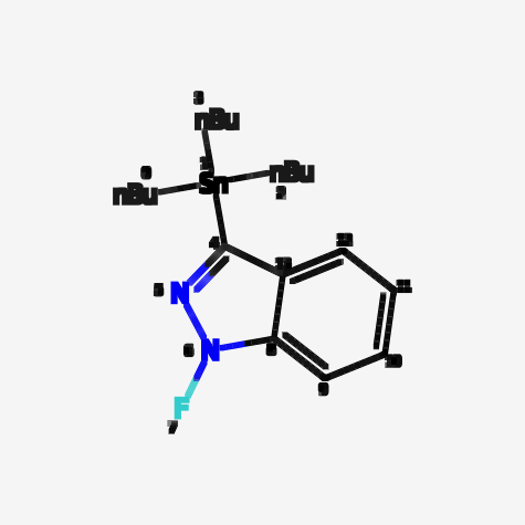 CCC[CH2][Sn]([CH2]CCC)([CH2]CCC)[c]1nn(F)c2ccccc12